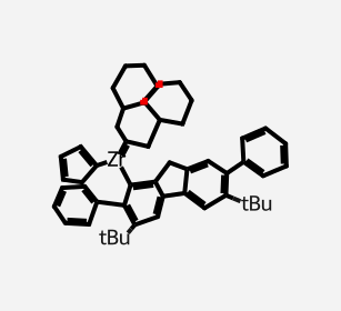 CC(C)(C)c1cc2c(cc1-c1ccccc1)Cc1c-2cc(C(C)(C)C)c(-c2ccccc2)[c]1[Zr]([C]1=CC=CC1)=[C](CC1CCCCC1)CC1CCCCC1